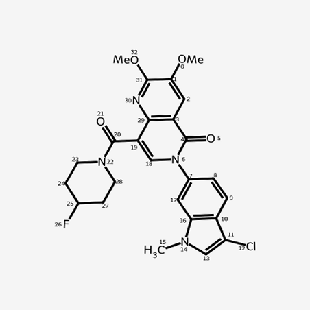 COc1cc2c(=O)n(-c3ccc4c(Cl)cn(C)c4c3)cc(C(=O)N3CCC(F)CC3)c2nc1OC